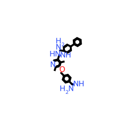 Cc1ncc(CNC2(C(=N)N)C=CC(c3ccccc3)C=C2)c(C)c1OCc1ccc(C(=N)N)cc1